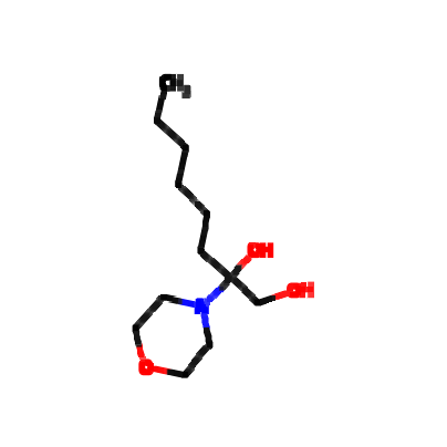 CCCCCCC(O)(CO)N1CCOCC1